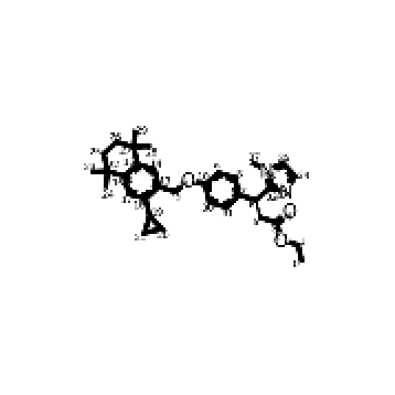 CCOC(=O)C[C@@H](c1ccc(OCc2cc3c(cc2C2CC2)C(C)(C)CCC3(C)C)cc1)c1nccn1C